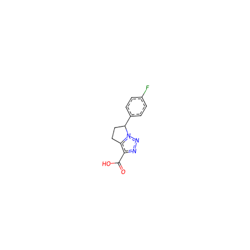 O=C(O)c1nnn2c1CCC2c1ccc(F)cc1